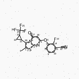 Cc1sc2nc(Oc3cccc(C#N)c3F)cc(=O)n2c1C1CC1C(F)(F)F